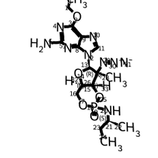 CCOc1nc(N)nc2c1ncn2[C@@H]1O[C@@H]2COP(=O)(N[C@@H](C)CC)O[C@H]2[C@@]1(C)N=[N+]=[N-]